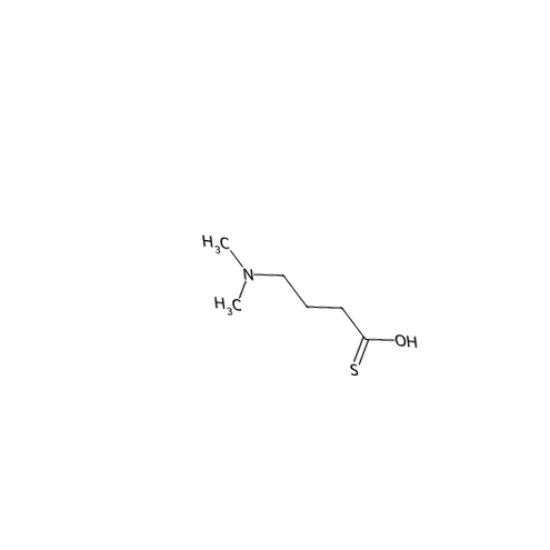 CN(C)CCCC(O)=S